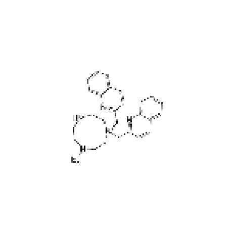 CCN1CCNCC[N+](Cc2ccc3ccccc3n2)(Cc2ccc3ccccc3n2)CC1